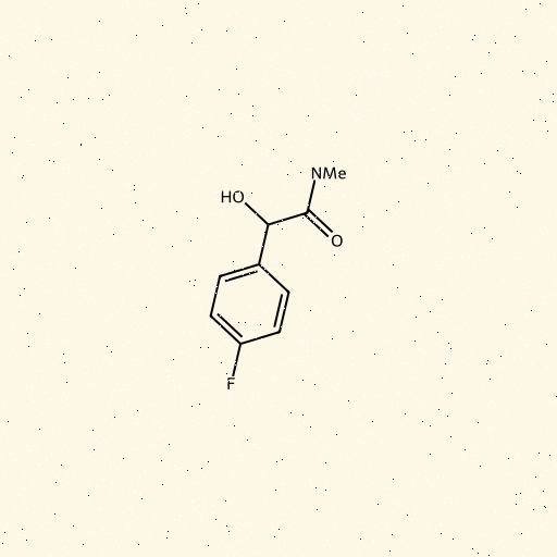 CNC(=O)C(O)c1ccc(F)cc1